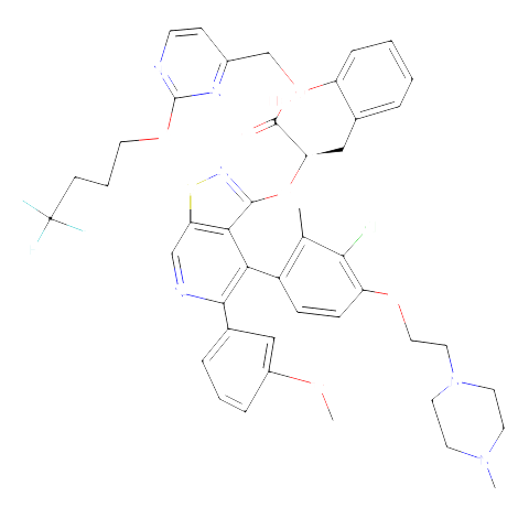 COc1cccc(-c2ncc3snc(O[C@H](Cc4ccccc4OCc4ccnc(OCCCC(F)(F)F)n4)C(=O)O)c3c2-c2ccc(OCCN3CCN(C)CC3)c(Cl)c2C)c1